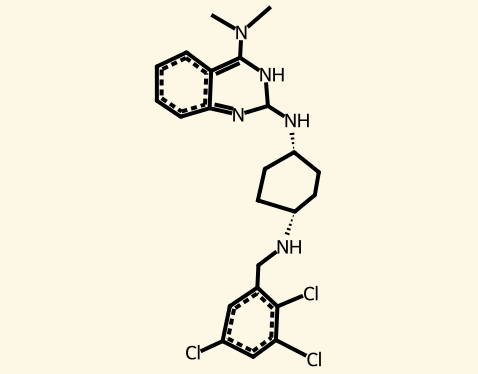 CN(C)C1=c2ccccc2=NC(N[C@H]2CC[C@@H](NCc3cc(Cl)cc(Cl)c3Cl)CC2)N1